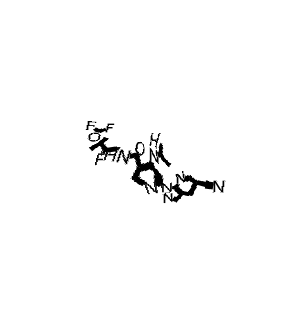 CC(C)Nc1cc(-n2ncc3cc(C#N)cnc32)ncc1C(=O)NC[C@@H](F)C(C)(C)OC(F)F